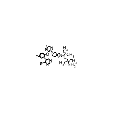 CC(C)[C@H](CCC(C)(C)N)N1CC2(CCN(c3ncnnc3Oc3ccc(F)cc3-c3cncnc3C3CC3)C2)C1